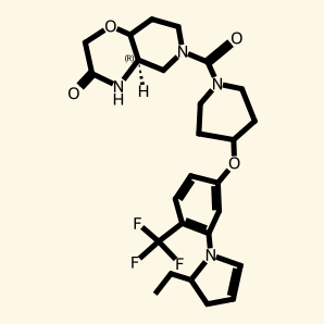 CCC1CC=CN1c1cc(OC2CCN(C(=O)N3CCC4OCC(=O)N[C@@H]4C3)CC2)ccc1C(F)(F)F